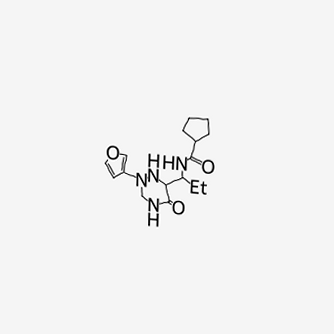 CCC(NC(=O)C1CCCC1)C1NN(c2ccoc2)CNC1=O